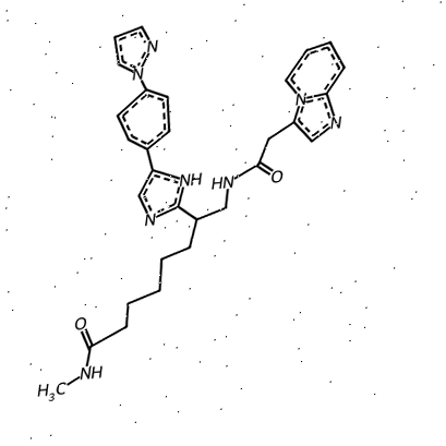 CNC(=O)CCCCCC(CNC(=O)Cc1cnc2ccccn12)c1ncc(-c2ccc(-n3cccn3)cc2)[nH]1